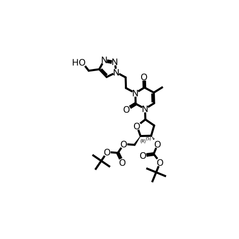 Cc1cn(C2C[C@H](OC(=O)OC(C)(C)C)[C@@H](COC(=O)OC(C)(C)C)O2)c(=O)n(CCn2cc(CO)nn2)c1=O